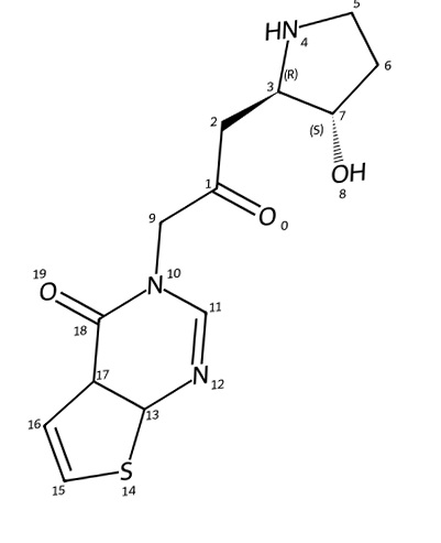 O=C(C[C@H]1NCC[C@@H]1O)CN1C=NC2SC=CC2C1=O